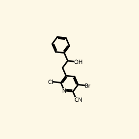 N#Cc1nc(Cl)c(CC(O)c2ccccc2)cc1Br